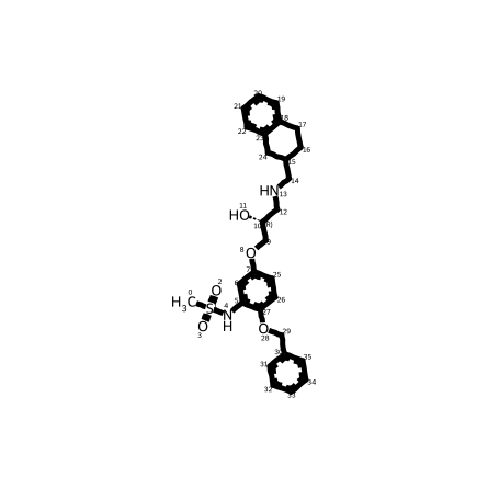 CS(=O)(=O)Nc1cc(OC[C@H](O)CNCC2CCc3ccccc3C2)ccc1OCc1ccccc1